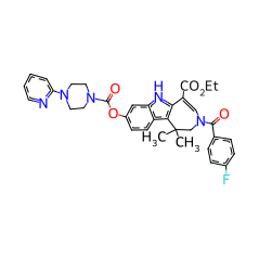 CCOC(=O)C1=CN(C(=O)c2ccc(F)cc2)CC(C)(C)c2c1[nH]c1cc(OC(=O)N3CCN(c4ccccn4)CC3)ccc21